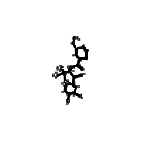 COc1cccc(C(=O)NN(C(=O)c2ccc(Cl)c(Cl)c2)C(C)(C)C)c1